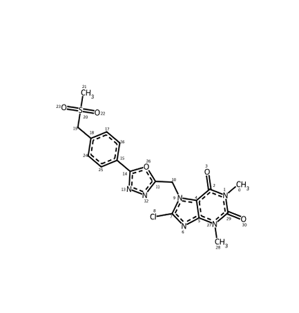 Cn1c(=O)c2c(nc(Cl)n2Cc2nnc(-c3ccc(CS(C)(=O)=O)cc3)o2)n(C)c1=O